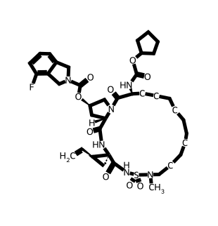 C=C[C@@H]1C[C@@]12NC(=O)[C@@H]1C[C@@H](OC(=O)N3Cc4cccc(F)c4C3)CN1C(=O)[C@@H](NC(=O)OC1CCCC1)CCCCCCCCCCN(C)S(=O)(=O)NC2=O